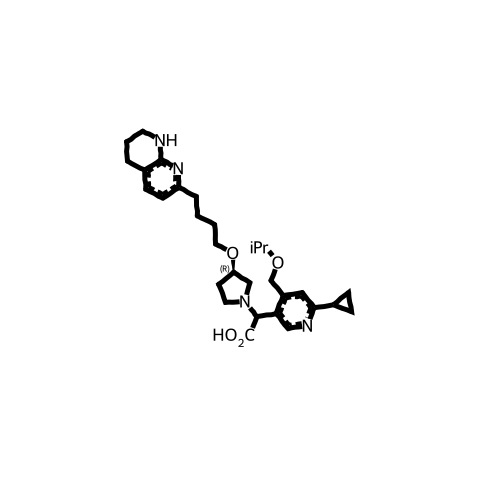 CC(C)OCc1cc(C2CC2)ncc1C(C(=O)O)N1CC[C@@H](OCCCCc2ccc3c(n2)NCCC3)C1